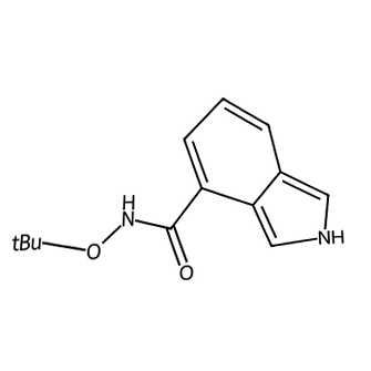 CC(C)(C)ONC(=O)c1cccc2c[nH]cc12